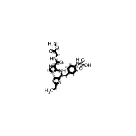 CCc1nc([C@H](Cc2ccc(NS(=O)(=O)O)cc2)Nc2scnc2C(=O)NCC(=O)OC)cs1